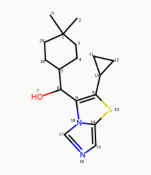 CC1(C)CCC(C(O)c2c(C3CC3)sc3cncn23)CC1